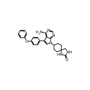 Nc1ncnc2c1c(-c1ccc(Oc3ccccc3)cc1)cn2C1CCC2(CC1)CNC(=O)N2